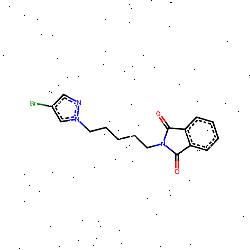 O=C1c2ccccc2C(=O)N1CCCCCn1cc(Br)cn1